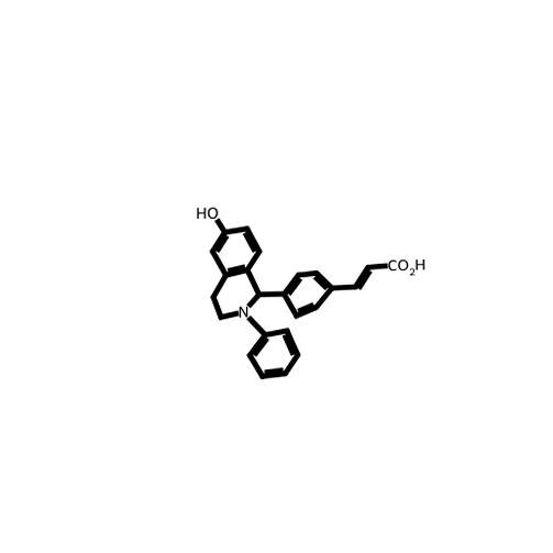 O=C(O)/C=C/c1ccc(C2c3ccc(O)cc3CCN2c2ccccc2)cc1